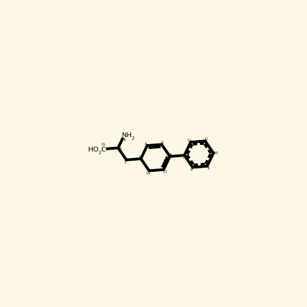 NC(CC1C=CC(c2ccccc2)=CC1)C(=O)O